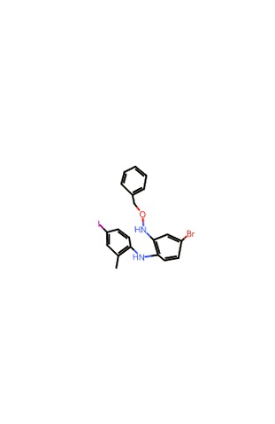 Cc1cc(I)ccc1Nc1ccc(Br)cc1NOCc1ccccc1